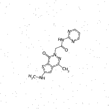 CNc1cc2c(C)nn(CC(=O)Nc3ncccn3)c(=O)c2s1